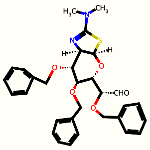 CN(C)C1=N[C@@H]2[C@@H](OCc3ccccc3)[C@H](OCc3ccccc3)[C@@H]([C@H](C=O)OCc3ccccc3)O[C@@H]2S1